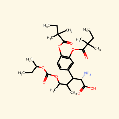 CCC(C)OC(=O)OC(C)C(C)C(c1ccc(OC(=O)C(C)(C)CC)c(OC(=O)C(C)(C)CC)c1)[C@H](N)C(=O)O